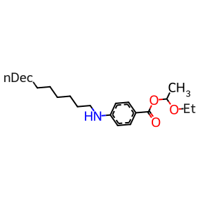 CCCCCCCCCCCCCCCCNc1ccc(C(=O)OC(C)OCC)cc1